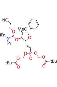 CO[C@@H]1[C@H](OP(OCCC#N)N(C(C)C)C(C)C)[C@@H](/C=C/P(=O)(OCOC(=O)C(C)(C)C)OCOC(=O)C(C)(C)C)O[C@H]1c1ccccc1